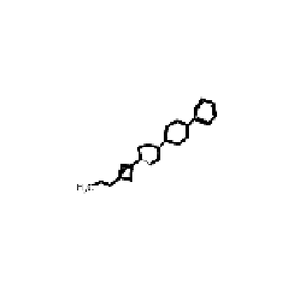 CCCC12CC([C@H]3CC[C@H](C4CCC(c5ccccc5)CC4)CC3)(C1)C2